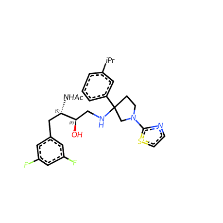 CC(=O)N[C@@H](Cc1cc(F)cc(F)c1)[C@H](O)CNC1(c2cccc(C(C)C)c2)CCN(c2nccs2)C1